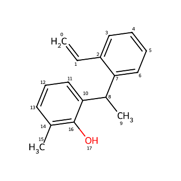 C=Cc1ccccc1C(C)c1cccc(C)c1O